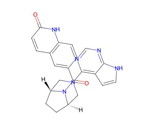 O=C(c1ccc2[nH]c(=O)ccc2c1)N1[C@@H]2CC[C@@H]1CN(c1ncnc3[nH]ccc13)C2